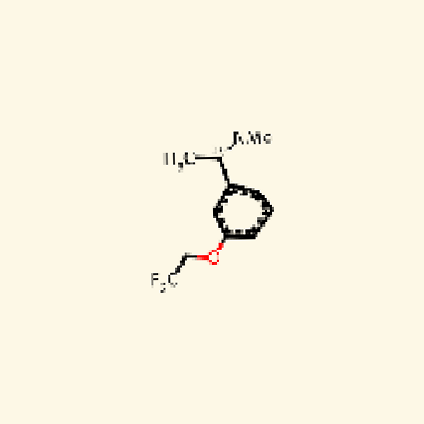 CN[C@@H](C)c1cccc(OCC(F)(F)F)c1